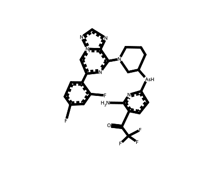 Nc1nc([AsH]C2CCCN(c3nc(-c4ccc(F)cc4F)cn4ncnc34)C2)ccc1C(=O)C(F)(F)F